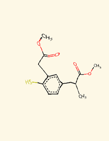 COC(=O)Cc1cc(C(C)C(=O)OC)ccc1S